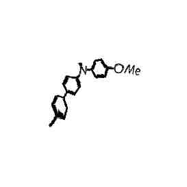 COc1ccc(N(C)c2ccc(-c3ccc(C)cc3)cc2)cc1